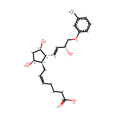 Cc1cccc(OC[C@H](O)/C=C/[C@@H]2[C@@H](C/C=C\CCCC(=O)O)[C@@H](O)C[C@H]2O)c1